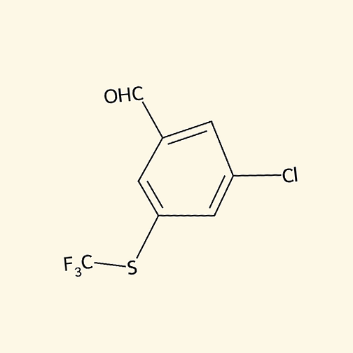 O=Cc1cc(Cl)cc(SC(F)(F)F)c1